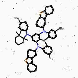 CC(C)(C)c1ccc2c(c1)N(c1ccc3sc4ccccc4c3c1)c1cc(N3c4ccc(C(C)(C)C)cc4C4(C)CCCCC34C)cc3c1B2c1ccc(C(C)(C)C)cc1N3c1ccc2sc3ccccc3c2c1